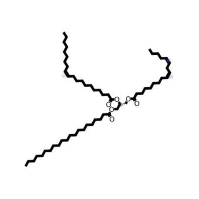 CCCC/C=C\C/C=C\CCCCCCCC(=O)OC[C@H](COC(=O)CCCCCCCCCCCCCCCCCCCC)OC(=O)CCCCCCCCC/C=C\CCCCCCCC